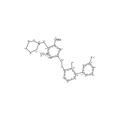 COc1nc(OCc2cccc(-c3cccc(F)c3)c2C)ncc1CN1CCCC[C@H]1C(=O)O